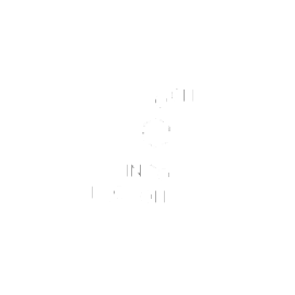 COc1ccc(C(=O)NC(C)O)cc1